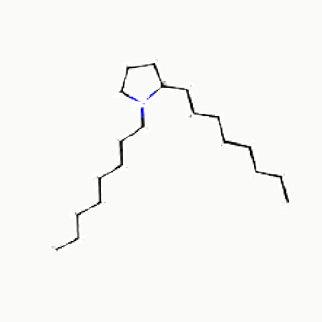 CCCCCCCCC1CCCN1CCCCCCCC